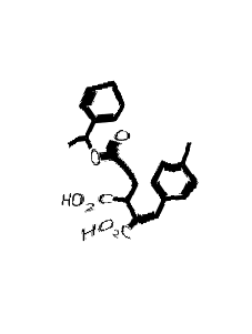 Cc1ccc(C=C(C(=O)O)C(CC(=O)OC(C)c2ccccc2)C(=O)O)cc1